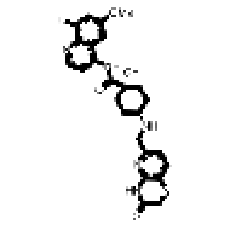 COc1cc(F)c2nccc(NC(=O)[C@]3(O)CC[C@@H](NCc4ccc5c(n4)NC(=O)CS5)CC3)c2c1